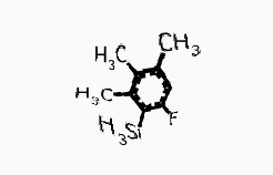 Cc1cc(F)c([SiH3])c(C)c1C